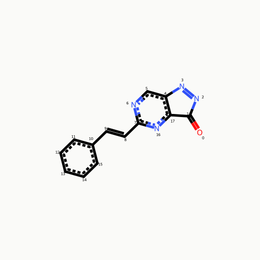 O=C1N=Nc2cnc(C=Cc3ccccc3)nc21